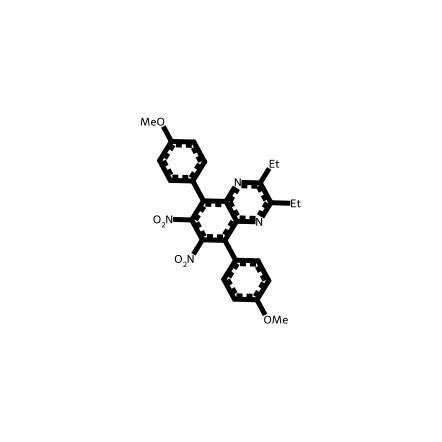 CCc1nc2c(-c3ccc(OC)cc3)c([N+](=O)[O-])c([N+](=O)[O-])c(-c3ccc(OC)cc3)c2nc1CC